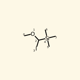 COC(I)[Si](C)(C)C